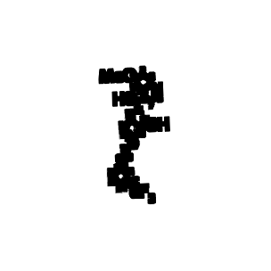 COc1ccc2nccc([C@H](O)CC[C@@H]3CCN(CCCSc4cccc(SC(F)(F)F)c4)C[C@@H]3CO)c2c1